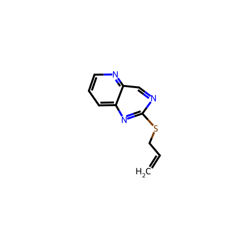 C=CCSc1ncc2ncccc2n1